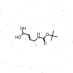 C[C@H](/C=C/B(O)O)NC(=O)OC(C)(C)C